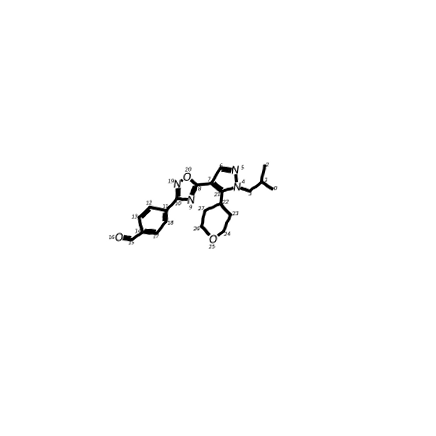 CC(C)Cn1ncc(-c2nc(-c3ccc(C=O)cc3)no2)c1C1CCOCC1